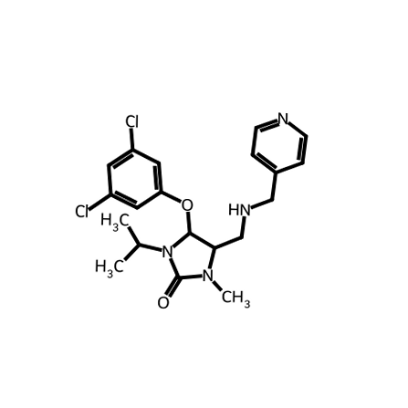 CC(C)N1C(=O)N(C)C(CNCc2ccncc2)C1Oc1cc(Cl)cc(Cl)c1